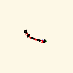 Brc1ccc(OCCCCCOCCCCCO[C@H]2C[C@@H](OCc3ccccc3)C2)nc1